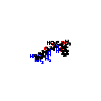 Cc1c(C(O)C(NC(=O)CCNC(=O)C(N)CC2=CCN(C(=N)N)C2)C(=O)O)oc2ccccc12